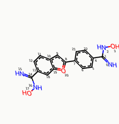 N=C(NO)c1ccc(-c2cc3ccc(C(=N)NO)cc3o2)cc1